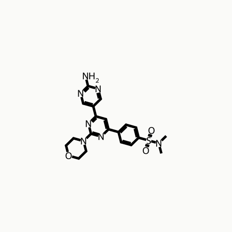 CN(C)S(=O)(=O)c1ccc(-c2cc(-c3cnc(N)nc3)nc(N3CCOCC3)n2)cc1